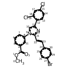 COC(=O)c1cccc(-n2cc(-c3ccc(Cl)cc3Cl)nc2C=Cc2ccc(Br)cc2)c1